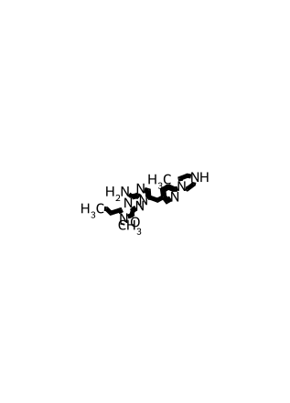 CCCCN(C)C(=O)c1nc(N)c2ncc(Cc3cnc(N4CCNCC4)c(C)c3)n2n1